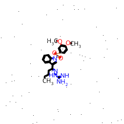 CCCC/C(=N\NC(=N)N)c1cn(S(=O)(=O)c2ccc(OC)c(OC)c2)c2ccccc12